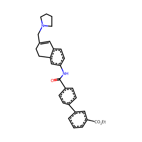 CCOC(=O)c1cccc(-c2ccc(C(=O)Nc3ccc4c(c3)CCC(CN3CCCC3)=C4)cc2)c1